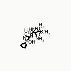 Cc1nn(C2=CCCC=C2)c(O)c1/N=N/c1[nH]nc(C(C)(C)C)c1C#N